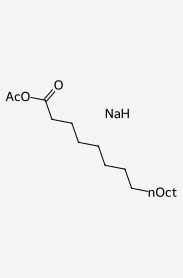 CCCCCCCCCCCCCCCC(=O)OC(C)=O.[NaH]